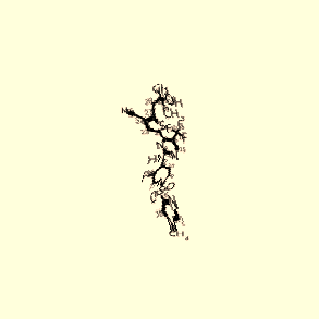 Cn1cnc(S(=O)(=O)N2CC[C@H](Nc3ncc(C(F)(F)F)c(-c4cc(C#N)c(CC(C)(C)O)s4)n3)[C@H](F)C2)c1